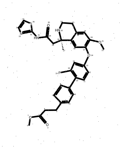 COC(=O)CCc1ccc(-c2ccc(Oc3cc4c(cc3OC)CCN[C@]4(C)CC(=O)Nc3nccs3)cc2F)cc1